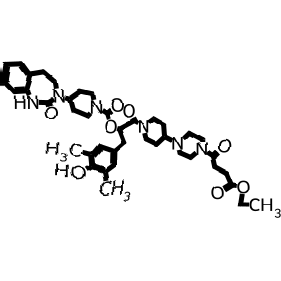 CCOC(=O)CCC(=O)N1CCN(C2CCN(C(=O)C(Cc3cc(C)c(O)c(C)c3)OC(=O)N3CCC(N4CCc5ccccc5NC4=O)CC3)CC2)CC1